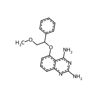 COCC(Oc1cccc2nc(N)nc(N)c12)c1ccccc1